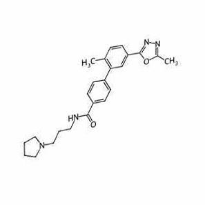 Cc1nnc(-c2ccc(C)c(-c3ccc(C(=O)NCCCN4CCCC4)cc3)c2)o1